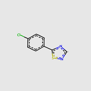 Clc1ccc(-c2n[c]ns2)cc1